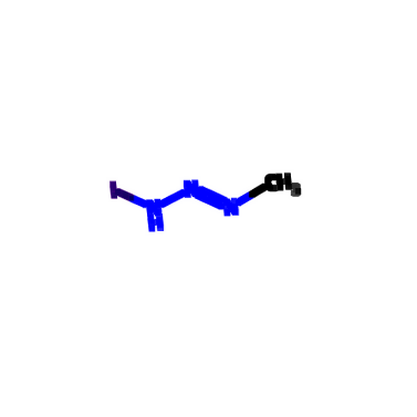 CN=NNI